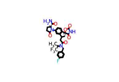 C[C@H](N(Cc1ccc(F)cc1)C(=O)CC1C[C@@]2(OC(=O)NC2=O)c2ccc(N3C(=O)CC[C@@H]3C(N)=O)cc21)C(F)(F)F